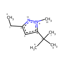 CCc1cc(C(C)(C)C)n(C)n1